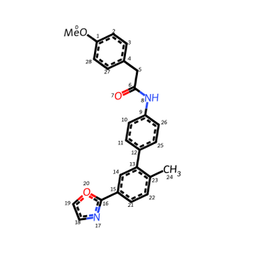 COc1ccc(CC(=O)Nc2ccc(-c3cc(-c4ncco4)ccc3C)cc2)cc1